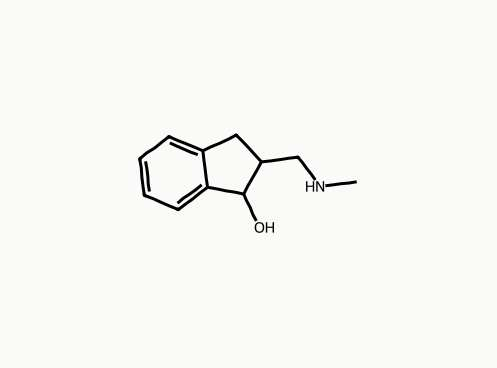 CNCC1Cc2ccccc2C1O